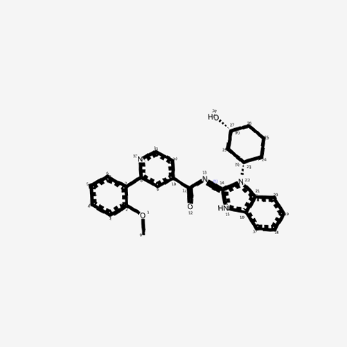 COc1ccccc1-c1cc(C(=O)/N=c2\[nH]c3ccccc3n2[C@H]2CCC[C@@H](O)C2)ccn1